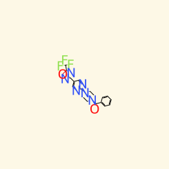 O=C(c1ccccc1)N1CCN(c2ncc(-c3noc(C(F)(F)F)n3)cn2)CC1